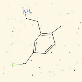 Cc1ccc(CF)cc1CCN